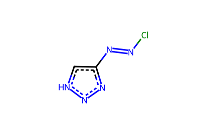 ClN=Nc1c[nH]nn1